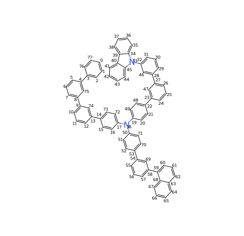 c1ccc(-c2cccc(-c3cccc(-c4ccc(N(c5ccc(-c6cccc(-c7cccc(-n8c9ccccc9c9ccccc98)c7)c6)cc5)c5ccc(-c6cccc(-c7cccc8ccccc78)c6)cc5)cc4)c3)c2)cc1